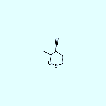 C#CC1CCSOC1C